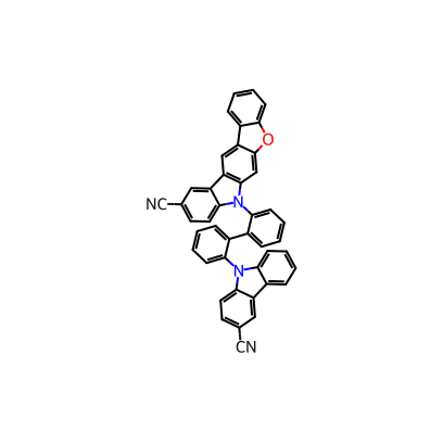 N#Cc1ccc2c(c1)c1ccccc1n2-c1ccccc1-c1ccccc1-n1c2ccc(C#N)cc2c2cc3c(cc21)oc1ccccc13